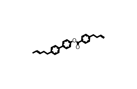 C=CCCc1ccc(C(=O)Oc2ccc(-c3ccc(CC/C=C/C)cc3)cc2)cc1